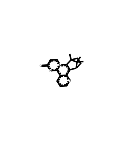 CC12CCC(c3c1n1ccc(=O)nc1c1cccnc31)C2(C)C